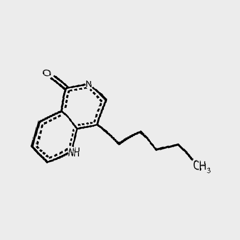 CCCCCc1cnc(=O)c2ccc[nH]c1-2